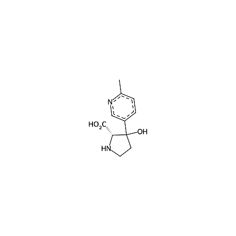 Cc1ccc(C2(O)CCN[C@@H]2C(=O)O)cn1